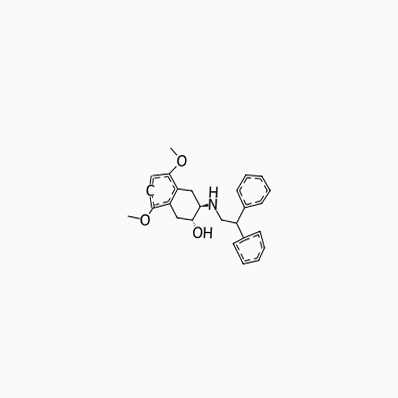 COc1ccc(OC)c2c1C[C@@H](O)[C@H](NCC(c1ccccc1)c1ccccc1)C2